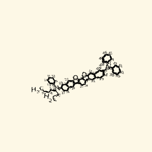 C=C/C(=C\C=C/C)N(c1ccccc1)c1ccc2cc3c(cc2c1)oc1c3ccc2c3cc4ccc(N(c5ccccc5)c5ccccc5)cc4cc3oc21